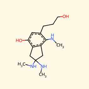 CNc1c(CCCO)cc(O)c2c1CC(NC)(NC)C2